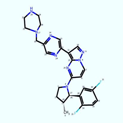 C[C@@H]1CCN(c2ccn3ncc(-c4cnc(CN5CCNCC5)cn4)c3n2)[C@H]1c1cc(F)ccc1F